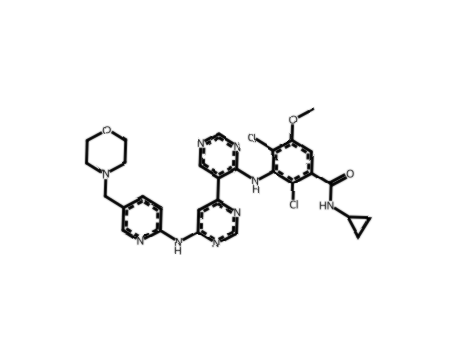 COc1cc(C(=O)NC2CC2)c(Cl)c(Nc2ncncc2-c2cc(Nc3ccc(CN4CCOCC4)cn3)ncn2)c1Cl